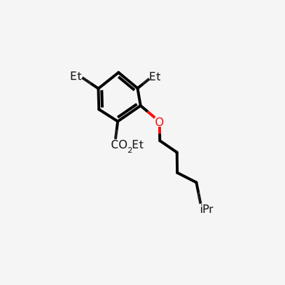 CCOC(=O)c1cc(CC)cc(CC)c1OCCCCC(C)C